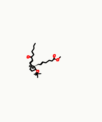 CCCCCC(=O)C=C[C@@H]1CCC(O[Si](C)(C)C)[C@H]1CC=CCCCC(=O)OC